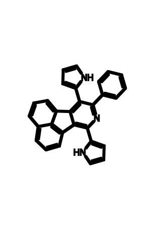 c1ccc(-c2nc(-c3ccc[nH]3)c3c(c2-c2ccc[nH]2)-c2cccc4cccc-3c24)cc1